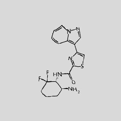 N[C@H]1CCCC(F)(F)[C@@H]1NC(=O)c1nc(-c2cnn3ccccc23)cs1